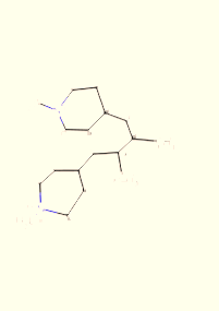 BN1CCC(CC(C)C(C)CC2CCN(B)CC2)CC1